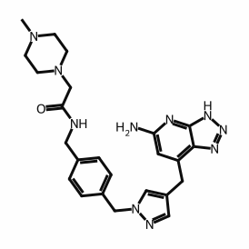 CN1CCN(CC(=O)NCc2ccc(Cn3cc(Cc4cc(N)nc5[nH]nnc45)cn3)cc2)CC1